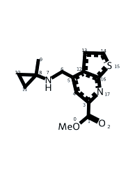 COC(=O)c1cc(CNC2(C)CC2)c2ccsc2n1